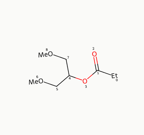 CCC(=O)OC(COC)COC